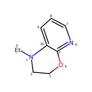 CCN1CCOc2ncccc21